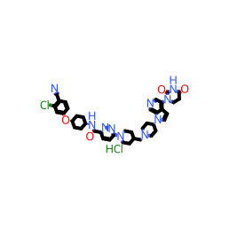 Cl.N#Cc1ccc(O[C@H]2CC[C@H](NC(=O)c3ccc(N4CCC(CN5CCC(n6ccc7c(N8CCC(=O)NC8=O)cncc76)CC5)CC4)nn3)CC2)cc1Cl